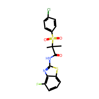 CC(C)(C(=O)Nc1nc2c(F)cccc2s1)S(=O)(=O)c1ccc(Cl)cc1